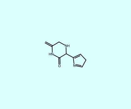 C=C1CNC(C2=CCC=N2)C(=O)N1